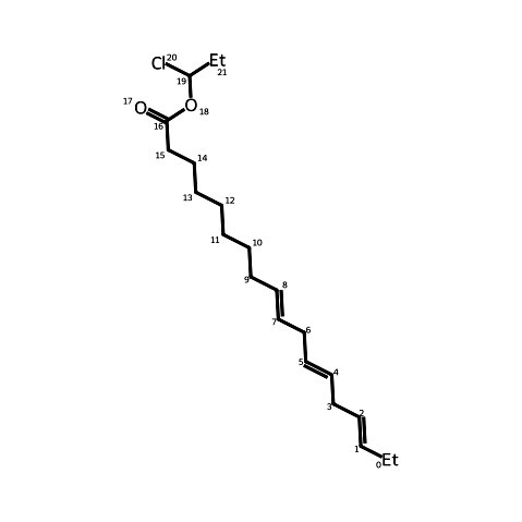 CC/C=C/C/C=C/C/C=C/CCCCCCCC(=O)OC(Cl)CC